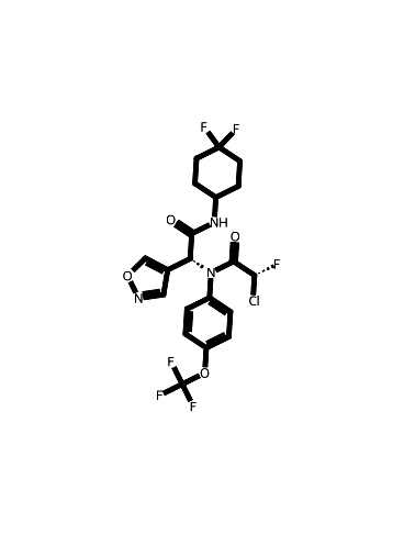 O=C(NC1CCC(F)(F)CC1)[C@@H](c1cnoc1)N(C(=O)[C@H](F)Cl)c1ccc(OC(F)(F)F)cc1